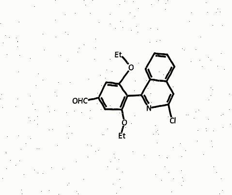 CCOc1cc(C=O)cc(OCC)c1-c1nc(Cl)cc2ccccc12